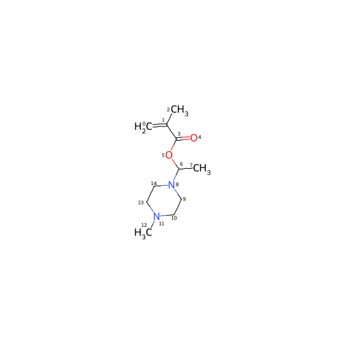 C=C(C)C(=O)OC(C)N1CCN(C)CC1